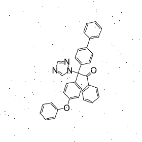 O=C(c1ccccc1)C(c1ccc(Oc2ccccc2)cc1)(c1ccc(-c2ccccc2)cc1)n1cncn1